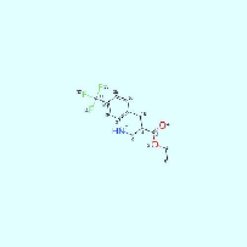 CCOC(=O)C1CNc2cc(C(F)(F)F)ccc2C1